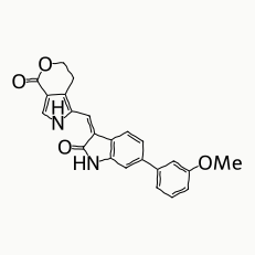 COc1cccc(-c2ccc3c(c2)NC(=O)/C3=C\c2[nH]cc3c2CCOC3=O)c1